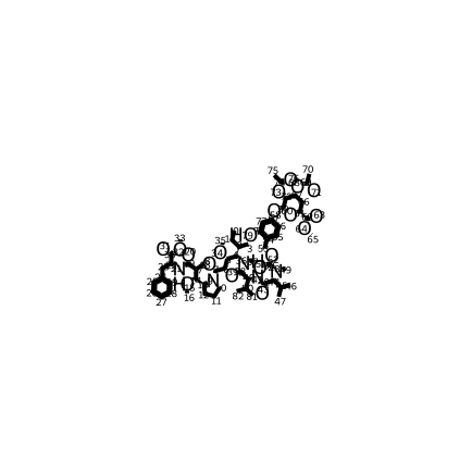 CCC(C)[C@@H](C(CC(=O)N1CCC[C@H]1C(OC)C(C)C(=O)NC(Cc1ccccc1)C(=O)OC)OC)N(C)C(=O)[C@@H](NC(=O)C(C(C)C)N(C)C(=O)OCc1ccc(OC2O[C@H](C(=O)OC)C[C@H](OC(C)=O)[C@H]2OC(C)=O)cc1O)C(C)C